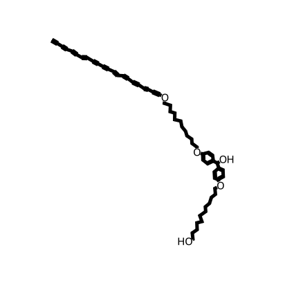 C#CC#CC#CC#CC#CC#CC#CC#CC#CC#CC#COCCCCCCCCCCCCOc1ccc(C(O)c2ccc(OCCCCCCCCCCCCO)cc2)cc1